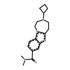 CN(C)C(=O)c1ccc2c(c1)nc1n2CCN(C2CCC2)CC1